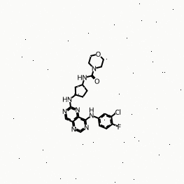 O=C(NC1CCC(Nc2ncc3ncnc(Nc4ccc(F)c(Cl)c4)c3n2)C1)N1CCOCC1